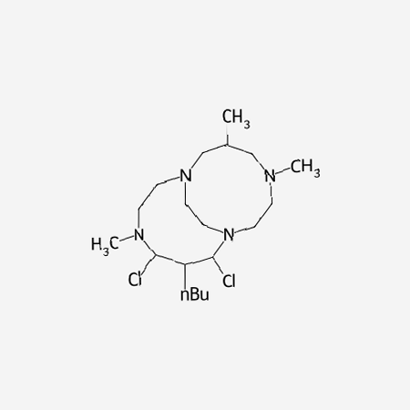 CCCCC1C(Cl)N(C)CCN2CCN(CCN(C)CC(C)C2)C1Cl